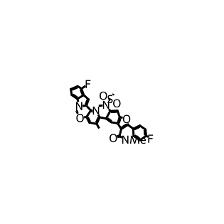 CNC(=O)c1c(-c2ccc(F)cc2)oc2cc(N(C)S(C)(=O)=O)c(-c3nc4c(cc3C)OCn3c-4cc4c(F)cccc43)cc12